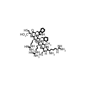 C[C@@H](NC(=O)[C@H](CS)NC(=O)[C@@H](N)CCCNC(=N)N)C(=O)N[C@@H](CCCNC(=N)N)C(=O)N[C@H](Cc1ccccc1)C(=O)N(C)[C@@H](CCCNC(=N)N)C(=O)N[C@H](Cc1c[nH]c2ccccc12)C(=O)N[C@@H](CS)C(=O)O